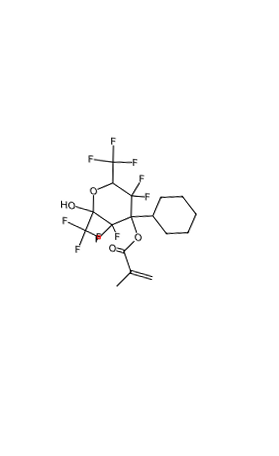 C=C(C)C(=O)OC1(C2CCCCC2)C(F)(F)C(C(F)(F)F)OC(O)(C(F)(F)F)C1(F)F